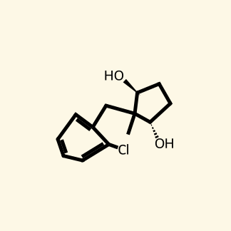 CC1(Cc2ccccc2Cl)[C@@H](O)CC[C@@H]1O